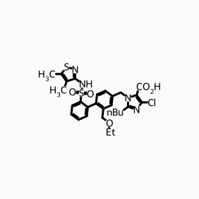 CCCCc1nc(Cl)c(C(=O)O)n1Cc1ccc(-c2ccccc2S(=O)(=O)Nc2nsc(C)c2C)c(COCC)c1